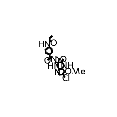 C=CC(=O)Nc1ccc(C(=O)N2CCC3(C2)Nc2ncc(Cl)c(OC)c2NC3=O)cc1